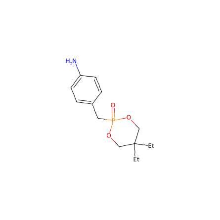 CCC1(CC)COP(=O)(Cc2ccc(N)cc2)OC1